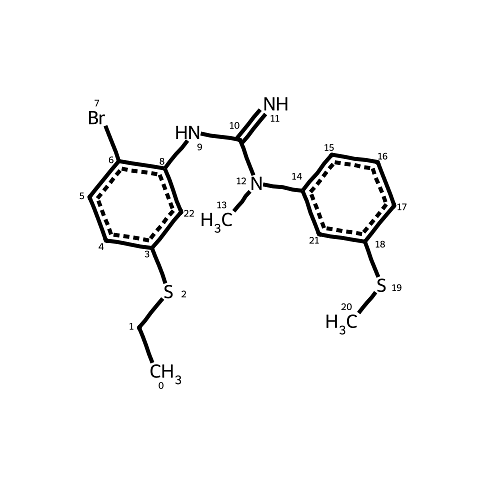 CCSc1ccc(Br)c(NC(=N)N(C)c2cccc(SC)c2)c1